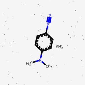 CN(C)c1ccc([N+]#N)cc1.[BH4-]